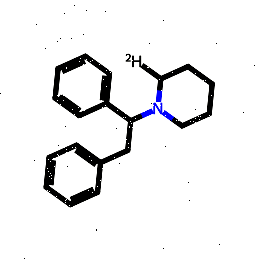 [2H]C1CCCCN1C(Cc1ccccc1)c1ccccc1